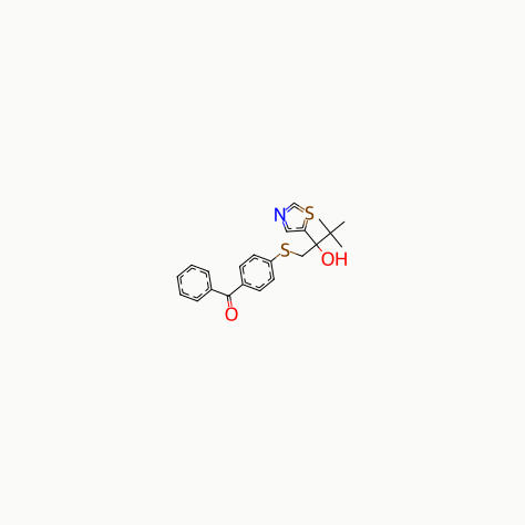 CC(C)(C)C(O)(CSc1ccc(C(=O)c2ccccc2)cc1)c1cncs1